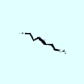 CCCCCC/C=C/CCN